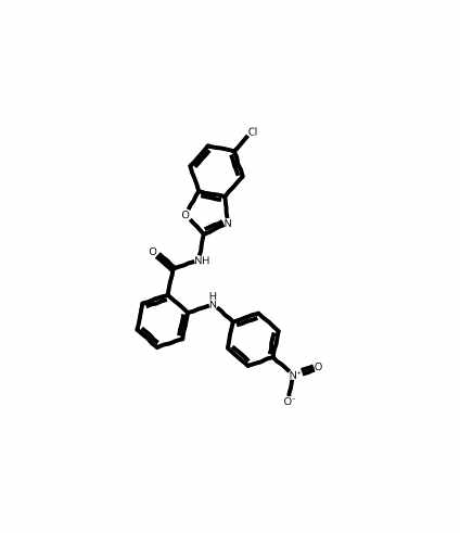 O=C(Nc1nc2cc(Cl)ccc2o1)c1ccccc1Nc1ccc([N+](=O)[O-])cc1